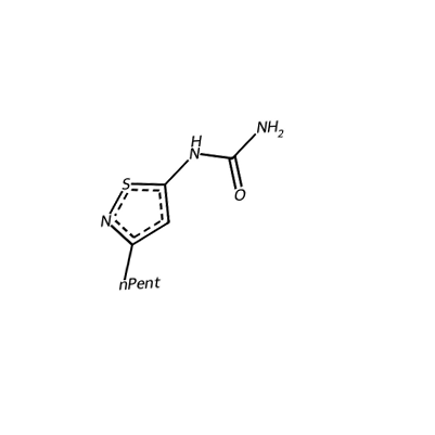 CCCCCc1cc(NC(N)=O)sn1